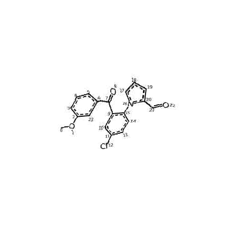 COc1cccc(C(=O)c2cc(Cl)ccc2-n2cccc2C=O)c1